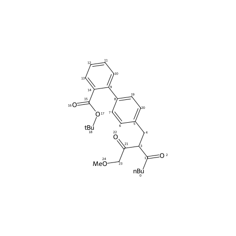 CCCCC(=O)C(Cc1ccc(-c2ccccc2C(=O)OC(C)(C)C)cc1)C(=O)COC